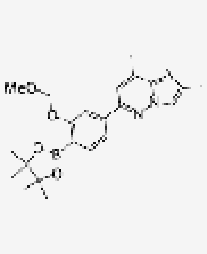 COCOc1cc(-c2cc(C)c3nc(C)cn3n2)ccc1B1OC(C)(C)C(C)(C)O1